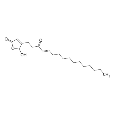 CCCCCCCCCCC/C=C/C(=O)CCC1=CC(=O)OC1O